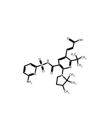 CC1CCN(c2nc(C(C)(C)C)c(C=CC(=O)O)cc2C(=O)NS(=O)(=O)c2cccc(N)n2)C1(C)C